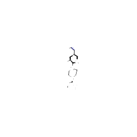 C/C=C\c1cnc(N2CCN(C(=O)OC(C)(C)C)CC2)c(F)c1